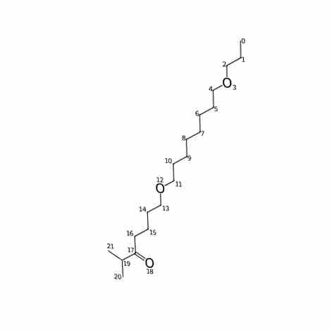 CCCOCCCCCCCCOCCCCC(=O)C(C)C